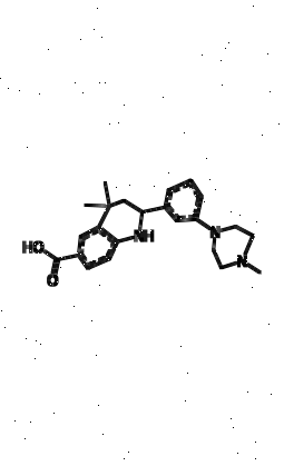 CN1CCN(c2cccc(C3CC(C)(C)c4cc(C(=O)O)ccc4N3)c2)CC1